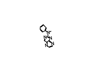 CN(c1ccccc1)c1ncc2nccnc2n1